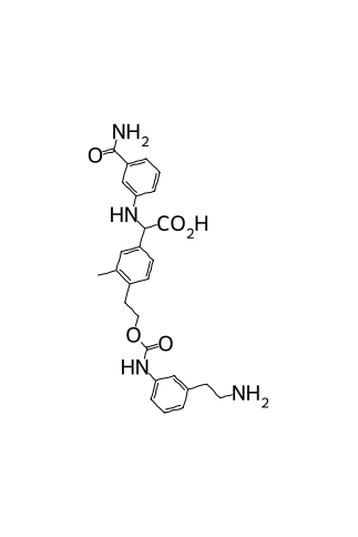 Cc1cc(C(Nc2cccc(C(N)=O)c2)C(=O)O)ccc1CCOC(=O)Nc1cccc(CCN)c1